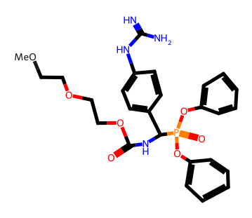 COCCOCCOC(=O)NC(c1ccc(NC(=N)N)cc1)P(=O)(Oc1ccccc1)Oc1ccccc1